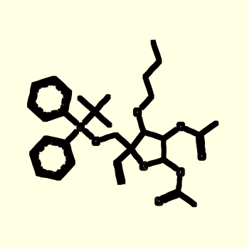 C=CC1(CO[Si](c2ccccc2)(c2ccccc2)C(C)(C)C)OC(OC(C)=O)C(OC(C)=O)C1OCCCC